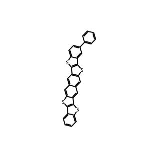 c1ccc(-c2ccc3sc4c5cc6cc7sc8c9ccccc9sc8c7cc6cc5sc4c3c2)cc1